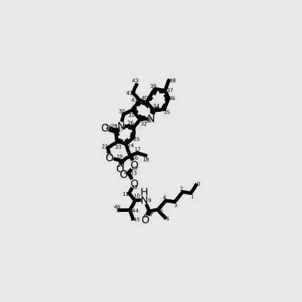 CCCCCC(C)C(=O)NC(COC(=O)OC1(CC)C(=O)OCc2c1cc1n(c2=O)Cc2c-1nc1ccc(C)cc1c2CC)C(C)C